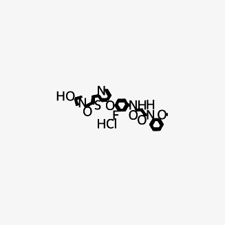 COc1ccccc1NC(=O)CC(=O)Nc1ccc(Oc2ccnc3cc(C(=O)N4CC(O)C4)sc23)c(F)c1.Cl